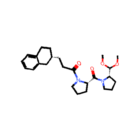 COC(OC)[C@@H]1CCCN1C(=O)[C@@H]1CCCN1C(=O)CC[C@H]1CCc2ccccc2C1